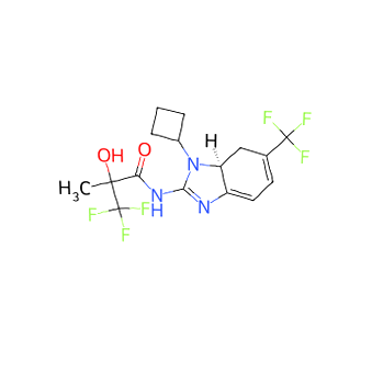 CC(O)(C(=O)NC1=NC2=CC=C(C(F)(F)F)C[C@@H]2N1C1CCC1)C(F)(F)F